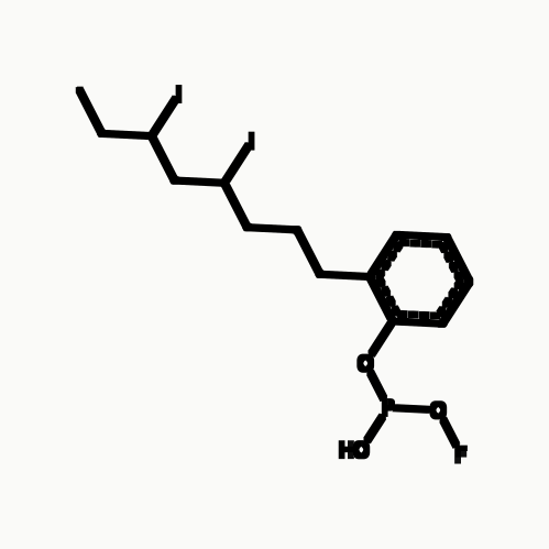 CCC(I)CC(I)CCCc1ccccc1OP(O)OF